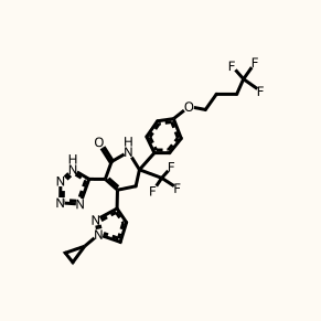 O=C1NC(c2ccc(OCCCC(F)(F)F)cc2)(C(F)(F)F)CC(c2ccn(C3CC3)n2)=C1c1nnn[nH]1